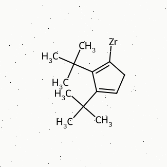 CC(C)(C)C1=CC[C]([Zr])=C1C(C)(C)C